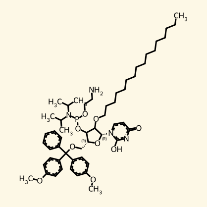 CCCCCCCCCCCCCCCCOC1C(OP(OCCN)N(C(C)C)C(C)C)[C@@H](COC(c2ccccc2)(c2ccc(OC)cc2)c2ccc(OC)cc2)O[C@H]1n1ccc(=O)nc1O